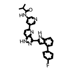 CC(C)C(=O)Nc1cncc(-c2ccc3[nH]nc(-c4cc5c(-c6ccc(F)cc6)cccc5[nH]4)c3n2)c1